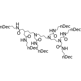 CCCCCCCCCCCCNC(=O)CC(CCCN(CCCCN(CCCN(CC(=O)NCCCCCCCCCCCC)CC(=O)NCCCCCCCCCCCC)CC(=O)NCCCCCCCCCCCC)CC(=O)NCCCCCCCCCCCC)CC(=O)NCCCCCCCCCCCC